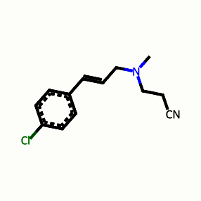 CN(C/C=C/c1ccc(Cl)cc1)CCC#N